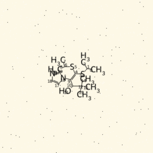 CC(C)SC(SC(C)C)=C(C(O)C(C)(C)C)n1ccnc1